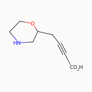 O=C(O)C#CCC1CNCCO1